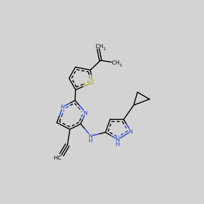 C#Cc1cnc(-c2ccc(C(=C)C)s2)nc1Nc1cc(C2CC2)n[nH]1